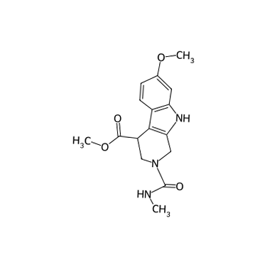 CNC(=O)N1Cc2[nH]c3cc(OC)ccc3c2C(C(=O)OC)C1